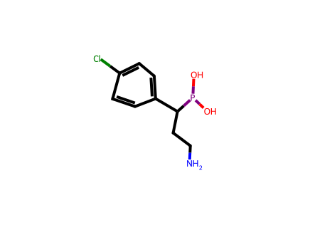 NCCC(c1ccc(Cl)cc1)P(O)O